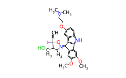 C#CC(I)(ON=C1c2cc(OC)c(OC)cc2-c2[nH]c3ccc(OCCN(C)C)cc3c21)C(C)C.Cl